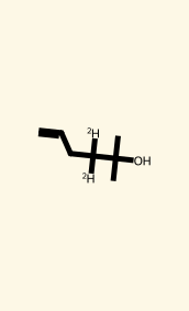 [2H]C([2H])(CC=C)C(C)(C)O